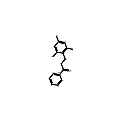 Cc1cc(C)c(CCC(=O)c2c[c]ccc2)c(C)c1